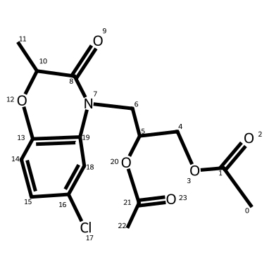 CC(=O)OCC(CN1C(=O)C(C)Oc2ccc(Cl)cc21)OC(C)=O